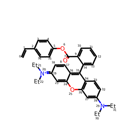 C=Cc1ccc(OC(=O)c2ccccc2-c2c3ccc(=[N+](CC)CC)cc-3oc3cc(N(CC)CC)ccc23)cc1